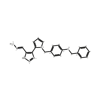 C/N=C/c1[nH]nnc1-c1cccn1Cc1ccc(OCc2ccccc2)cc1